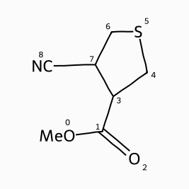 COC(=O)C1CSCC1C#N